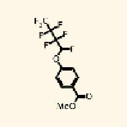 COC(=O)c1ccc(OC(F)C(F)(F)C(F)(F)C(F)(F)F)cc1